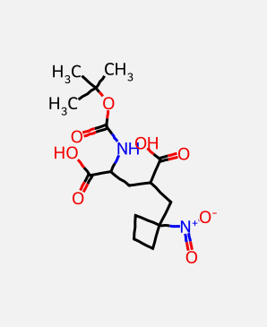 CC(C)(C)OC(=O)NC(CC(CC1([N+](=O)[O-])CCC1)C(=O)O)C(=O)O